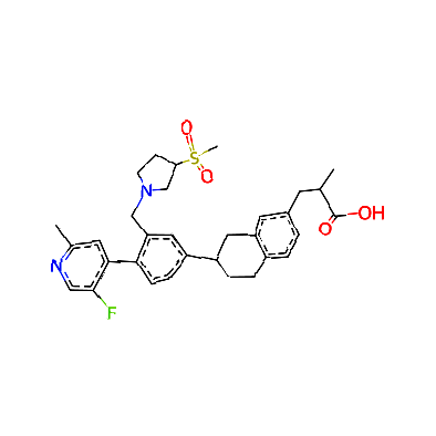 Cc1cc(-c2ccc(C3CCc4ccc(CC(C)C(=O)O)cc4C3)cc2CN2CCC(S(C)(=O)=O)C2)c(F)cn1